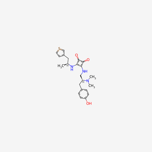 C[C@@H](Cc1ccsc1)Nc1c(NC[C@H](Cc2ccc(O)cc2)N(C)C)c(=O)c1=O